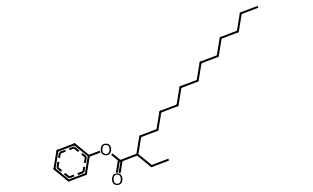 CCCCCCCCCCCCC(CC)C(=O)Oc1ccccc1